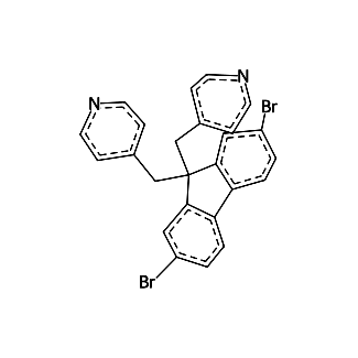 Brc1ccc2c(c1)C(Cc1ccncc1)(Cc1ccncc1)c1cc(Br)ccc1-2